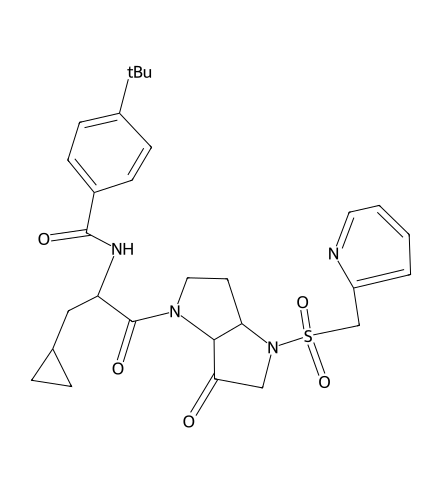 CC(C)(C)c1ccc(C(=O)NC(CC2CC2)C(=O)N2CCC3C2C(=O)CN3S(=O)(=O)Cc2ccccn2)cc1